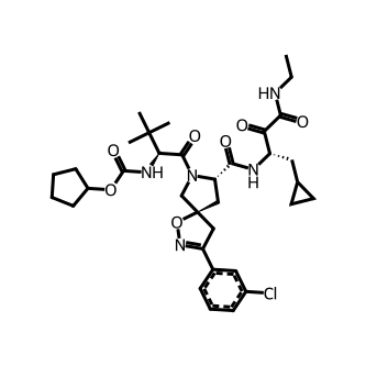 CCNC(=O)C(=O)[C@H](CC1CC1)NC(=O)[C@@H]1C[C@]2(CC(c3cccc(Cl)c3)=NO2)CN1C(=O)[C@@H](NC(=O)OC1CCCC1)C(C)(C)C